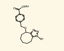 COC(=O)c1ccc(COC2CCCCCc3c2nnn3C(C)C)cc1